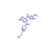 Cc1cc(Nc2nc(NC3CC4CC5(CCC#N)CC(C3)N45)nc3[nH]ccc23)n[nH]1